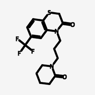 O=C1CCCCN1CCCN1C(=O)CSc2ccc(C(F)(F)F)cc21